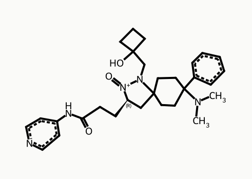 CN(C)C1(c2ccccc2)CCC2(CC1)C[C@@H](CCC(=O)Nc1ccncc1)[N+](=O)N2CC1(O)CCC1